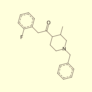 CC1CN(Cc2ccccc2)CCC1C(=O)Cc1ccccc1F